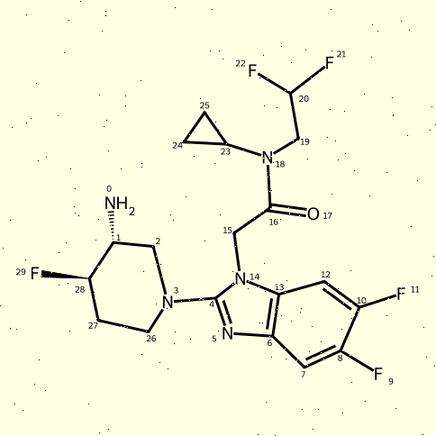 N[C@@H]1CN(c2nc3cc(F)c(F)cc3n2CC(=O)N(CC(F)F)C2CC2)CC[C@H]1F